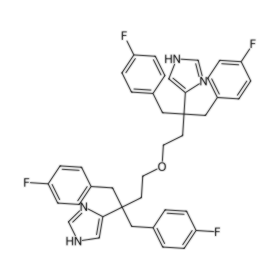 Fc1ccc(CC(CCOCCC(Cc2ccc(F)cc2)(Cc2ccc(F)cc2)c2c[nH]cn2)(Cc2ccc(F)cc2)c2c[nH]cn2)cc1